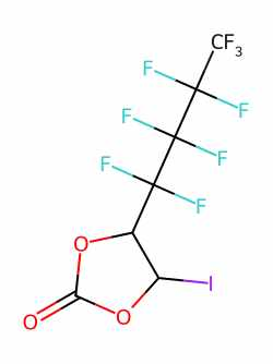 O=C1OC(I)C(C(F)(F)C(F)(F)C(F)(F)C(F)(F)F)O1